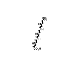 CCCCNCCNCCNCCNCCNCCNCCC(=O)O